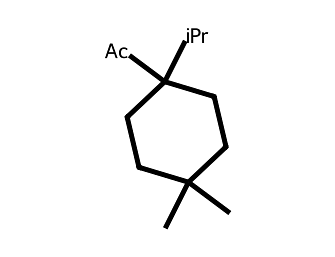 CC(=O)C1(C(C)C)CCC(C)(C)CC1